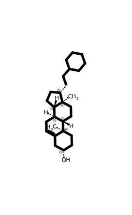 C[C@]12CC[C@H]3[C@@H](CC=C4C[C@@H](O)CC[C@@]43C)[C@@H]1CC[C@@H]2CCC1CCCCC1